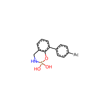 CC(=O)c1ccc(-c2cccc3c2OS(O)(O)NC3)cc1